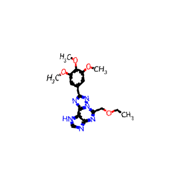 CCOCc1nc2nc[nH]c2c2nc(-c3cc(OC)c(OC)c(OC)c3)nn12